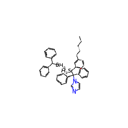 BC(c1ccccc1)c1ccccc1.CCCCCc1cccc([SiH2]C(c2ccccc2)(c2ccccc2)n2ccnc2)c1